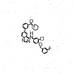 O=C(c1cccc(-c2ccc3ncnc(Nc4ccc(OCc5cccc(F)c5)c(Cl)c4)c3c2)c1)N1CCCCC1